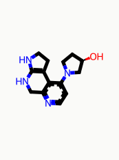 O[C@@H]1CCN(c2ccnc3c2C2=C(NCC2)NC3)C1